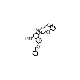 CCCCc1nc2cc(O)c3cc(OCc4ccccc4)cnc3c2n1CCOc1ccccc1